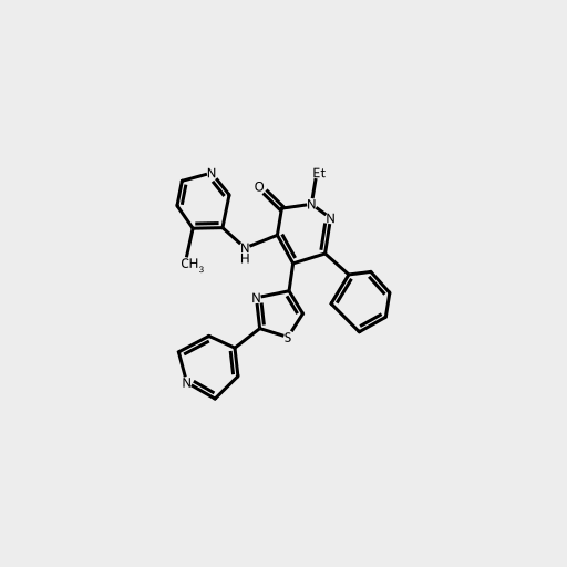 CCn1nc(-c2ccccc2)c(-c2csc(-c3ccncc3)n2)c(Nc2cnccc2C)c1=O